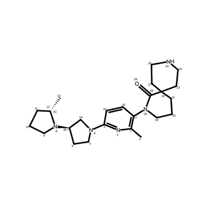 Cc1nc(N2CC[C@@H](N3CCC[C@@H]3C)C2)ccc1N1CCCC2(CCNCC2)C1=O